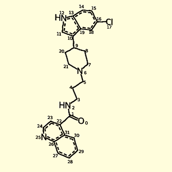 O=C(NCCCN1CCC(c2c[nH]c3ccc(Cl)cc23)CC1)c1ccnc2ccccc12